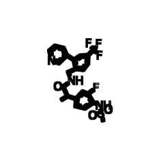 CC(C(=O)NCc1ccc(C(F)(F)F)cc1-c1cccnc1)c1ccc(NS(C)(=O)=O)c(F)c1